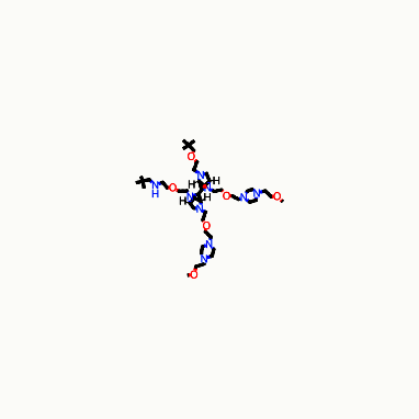 COCCN1CCN(CCOCCN2C[C@@H]3C[C@H]2C(C2[C@@H]4C[C@@H](CN4CCOCC(C)(C)C)N2CCOCCN2CCN(CCOC)CC2)N3CCOCCNCC(C)(C)C)CC1